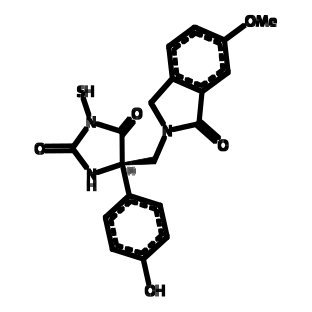 COc1ccc2c(c1)C(=O)N(C[C@@]1(c3ccc(O)cc3)NC(=O)N(S)C1=O)C2